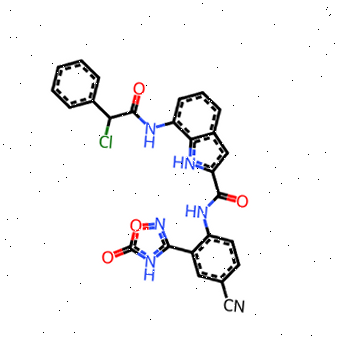 N#Cc1ccc(NC(=O)c2cc3cccc(NC(=O)C(Cl)c4ccccc4)c3[nH]2)c(-c2noc(=O)[nH]2)c1